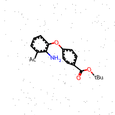 CC(=O)c1cccc(Oc2ccc(C(=O)OC(C)(C)C)cc2)c1N